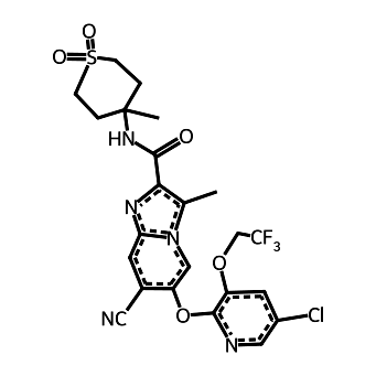 Cc1c(C(=O)NC2(C)CCS(=O)(=O)CC2)nc2cc(C#N)c(Oc3ncc(Cl)cc3OCC(F)(F)F)cn12